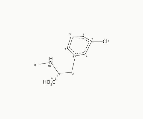 O=C(O)[C@@H](Cc1cccc(Cl)c1)NI